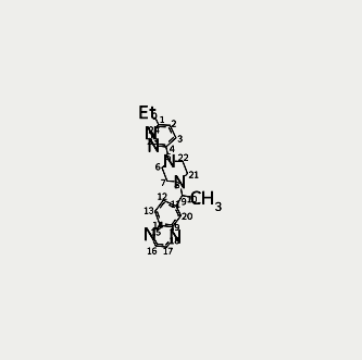 CCc1ccc(N2CCN(C(C)c3ccc4nccnc4c3)CC2)nn1